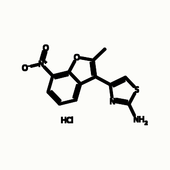 Cc1oc2c([N+](=O)[O-])cccc2c1-c1csc(N)n1.Cl